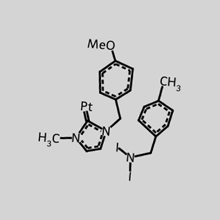 COc1ccc(Cn2ccn(C)[c]2=[Pt])cc1.Cc1ccc(CN(I)I)cc1